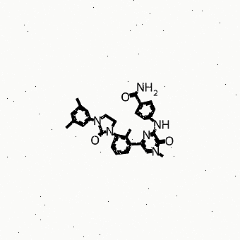 Cc1cc(C)cc(N2CCN(c3cccc(-c4cn(C)c(=O)c(Nc5ccc(C(N)=O)cc5)n4)c3C)C2=O)c1